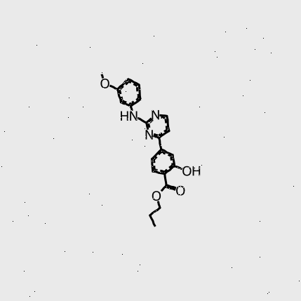 CCCOC(=O)c1ccc(-c2ccnc(Nc3cccc(OC)c3)n2)cc1O